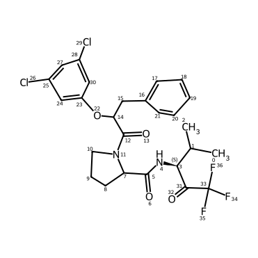 CC(C)[C@H](NC(=O)C1CCCN1C(=O)C(Cc1ccccc1)Oc1cc(Cl)cc(Cl)c1)C(=O)C(F)(F)F